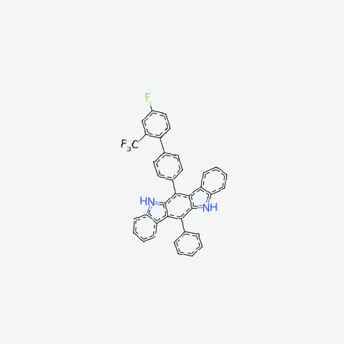 Fc1ccc(-c2ccc(-c3c4[nH]c5ccccc5c4c(-c4ccccc4)c4[nH]c5ccccc5c34)cc2)c(C(F)(F)F)c1